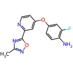 Cc1noc(-c2cc(Oc3ccc(N)c(F)c3)ccn2)n1